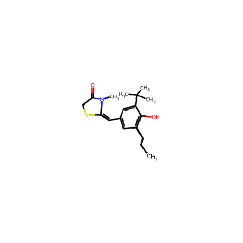 CCCc1cc(C=C2SCC(=O)N2C)cc(C(C)(C)C)c1O